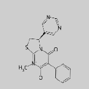 C[n+]1c([O-])c(-c2ccccc2)c(=O)n2c1SC[C@H]2c1cncnc1